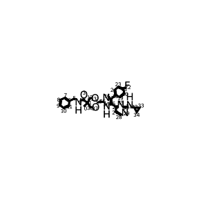 CC1(C(=O)NCc2ccccc2)COC(c2nc(-c3ccc(F)cc3)c(-c3ccnc(NC4CC4)n3)[nH]2)OC1